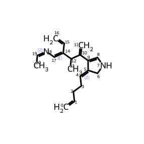 C=CCC/C=C1\CNC=C1C(=C)C(C)/C(C=C)=C/N=C\C